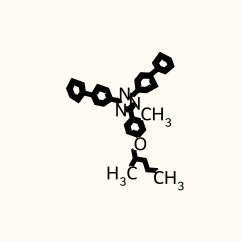 CCCCC(CC)COc1ccc(-c2nc(-c3ccc(-c4ccccc4)cc3)nc(-c3ccc(-c4ccccc4)cc3)n2)c(C)c1